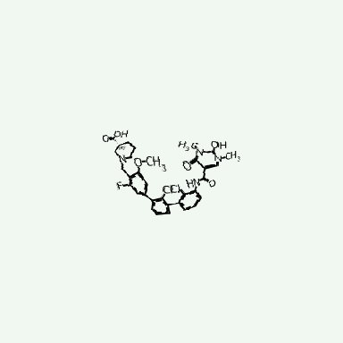 COc1cc(-c2cccc(-c3cccc(NC(=O)C4=CN(C)C(O)N(C)C4=O)c3Cl)c2Cl)cc(F)c1CN1CCC[C@@H](C(=O)O)C1